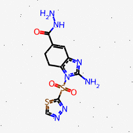 NNC(=O)C1=Cc2nc(N)n(S(=O)(=O)c3nncs3)c2CC1